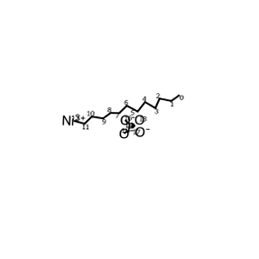 CCCCCCCCCCC[CH2][Ni+3].O=P([O-])([O-])[O-]